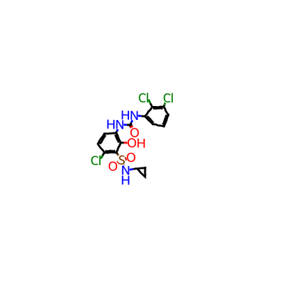 O=C(Nc1ccc(Cl)c(S(=O)(=O)NC2CC2)c1O)Nc1cccc(Cl)c1Cl